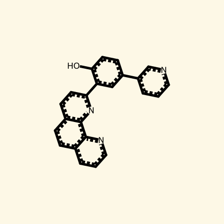 Oc1ccc(-c2cccnc2)cc1-c1ccc2ccc3cccnc3c2n1